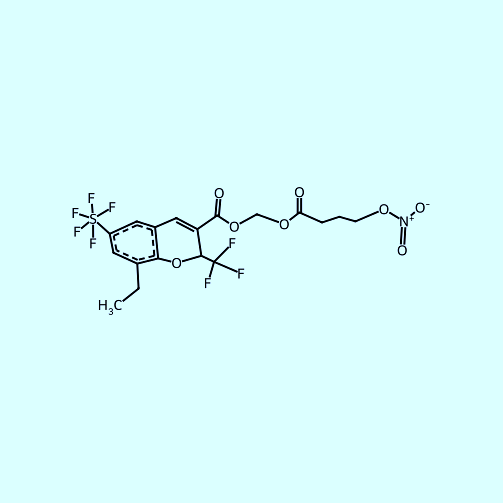 CCc1cc(S(F)(F)(F)(F)F)cc2c1OC(C(F)(F)F)C(C(=O)OCOC(=O)CCCO[N+](=O)[O-])=C2